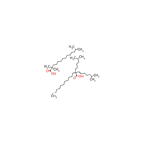 CC(C)CCCCCCCCCCC(C)(C)C(=O)O.CCCCCCCCCCCCC(CCCCCC(C)C)(CCCCC(C)C)C(=O)O